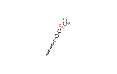 O=C(Oc1cc(F)c(F)c(F)c1)c1ccc(-c2ccc(C3C4C3C43C4C3C43C4C3C43C4C3C43C4CC43)cc2)cc1